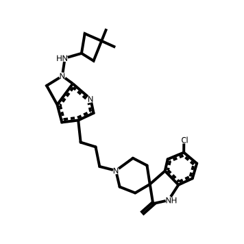 C=C1Nc2ccc(Cl)cc2C12CCN(CCCc1cnc3c(c1)CN3NC1CC(C)(C)C1)CC2